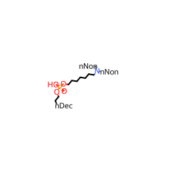 CCCCCCCCCCCCOP(=O)(O)OCCCCCCCN(CCCCCCCCC)CCCCCCCCC